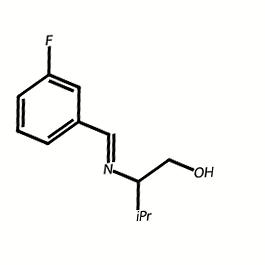 CC(C)C(CO)N=Cc1cccc(F)c1